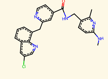 CNc1ccc(CNC(=O)c2ccnc(Cc3cccc4cc(Cl)cnc34)c2)c(C)n1